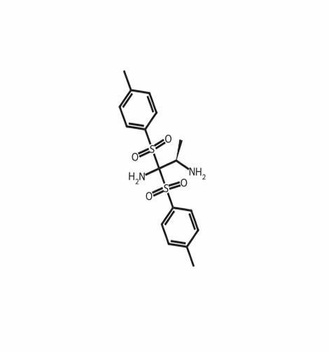 Cc1ccc(S(=O)(=O)C(N)([C@@H](C)N)S(=O)(=O)c2ccc(C)cc2)cc1